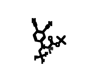 C[C@@H](C(=O)OC(C)(C)C)N(CC(F)(F)F)c1ccc(C#N)c(C#N)c1